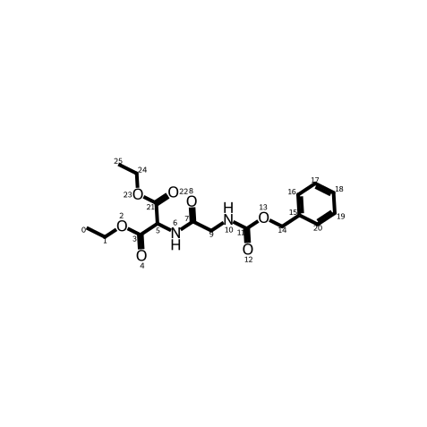 CCOC(=O)C(NC(=O)CNC(=O)OCc1ccccc1)C(=O)OCC